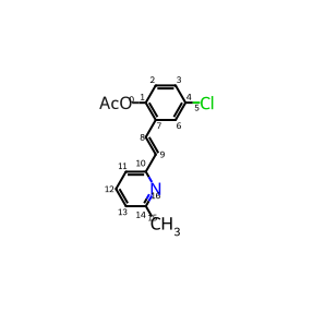 CC(=O)Oc1ccc(Cl)cc1/C=C/c1cccc(C)n1